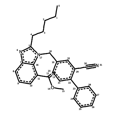 CCCCCc1nc2cccc(C(=O)OC)c2n1Cc1ccc(-c2ccccc2)c(C#N)c1